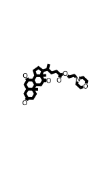 CC(CCC(=O)OCCN1CCOCC1)C1CCC2C3C(=O)CC4CC(=O)CCC4(C)C3CC(=O)C12C